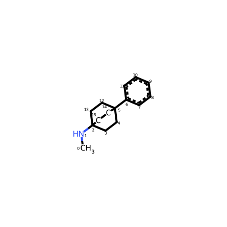 CNC12CCC(c3ccccc3)(CC1)CC2